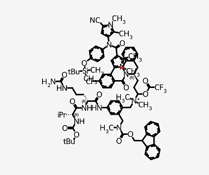 Cc1c(N(C(=O)c2cc(-c3cc(Cl)ccc3C(=O)N3Cc4ccccc4C[C@H]3CCC(OC(=O)C(F)(F)F)[N+](C)(C)Cc3ccc(NC(=O)[C@@H](CCCNC(N)=O)NC(=O)[C@H](NC(=O)OC(C)(C)C)C(C)C)cc3CN(C)C(=O)OCC3c4ccccc4-c4ccccc43)n(C)c2C)c2ccc(O[Si](C)(C)C(C)(C)C)cc2)cc(C#N)n1C